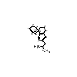 CC(C)Cc1ccc2c(c1)CCCC21CC2=CCC1C2